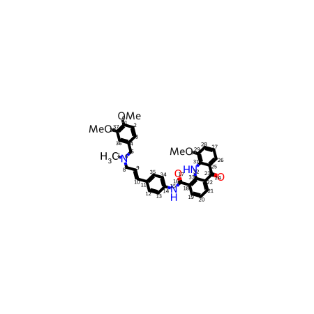 COc1ccc(CN(C)CC=Cc2ccc(NC(=O)c3cccc4c(=O)c5cccc(OC)c5[nH]c34)cc2)cc1OC